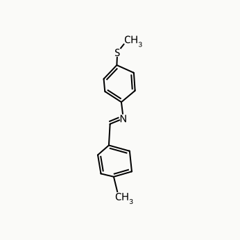 CSc1ccc(N=Cc2ccc(C)cc2)cc1